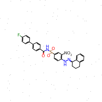 O=C(NS(=O)(=O)c1ccc(N/N=C2\CCCc3ccccc32)c([N+](=O)[O-])c1)c1ccc(-c2ccc(F)cc2)cc1